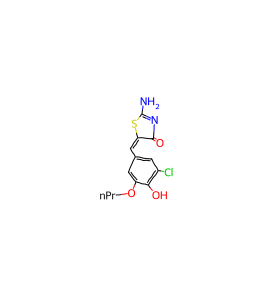 CCCOc1cc(C=C2SC(N)=NC2=O)cc(Cl)c1O